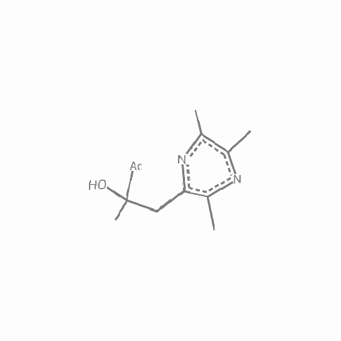 CC(=O)C(C)(O)Cc1nc(C)c(C)nc1C